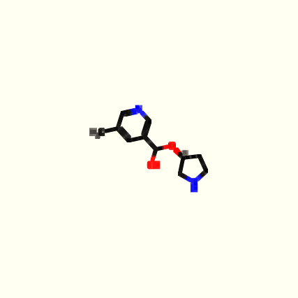 Cc1cncc(C(O)O[C@H]2CCNC2)c1